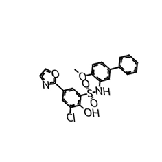 COc1ccc(-c2ccccc2)cc1NS(=O)(=O)c1cc(-c2ncco2)cc(Cl)c1O